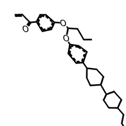 C=CC(=O)c1ccc(OC(CCC)Oc2ccc(C3CCC(C4CCC(CCC)CC4)CC3)cc2)cc1